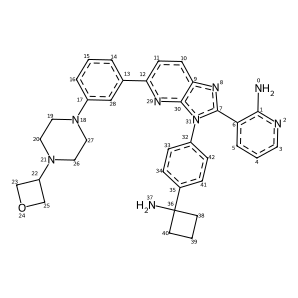 Nc1ncccc1-c1nc2ccc(-c3cccc(N4CCN(C5COC5)CC4)c3)nc2n1-c1ccc(C2(N)CCC2)cc1